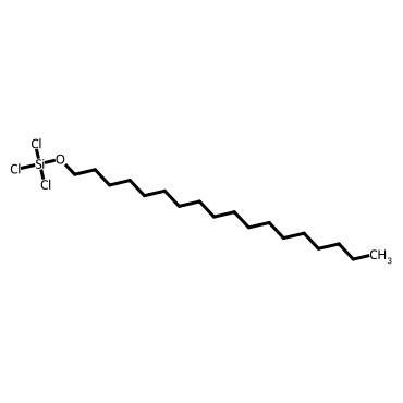 CCCCCCCCCCCCCCCCCCO[Si](Cl)(Cl)Cl